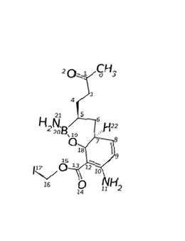 CC(=O)CC[C@H]1C[C@H]2C=CC(N)=C(C(=O)OCI)C2OB1N